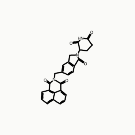 O=C1CCC(N2Cc3cc(CN4C(=O)c5cccc6cccc(c56)C4=O)ccc3C2=O)C(=O)N1